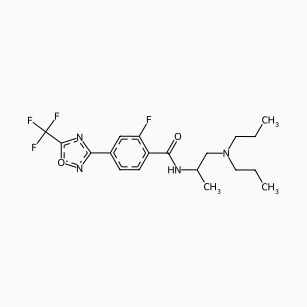 CCCN(CCC)CC(C)NC(=O)c1ccc(-c2noc(C(F)(F)F)n2)cc1F